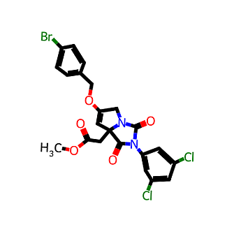 COC(=O)CC12C=C(OCc3ccc(Br)cc3)CN1C(=O)N(c1cc(Cl)cc(Cl)c1)C2=O